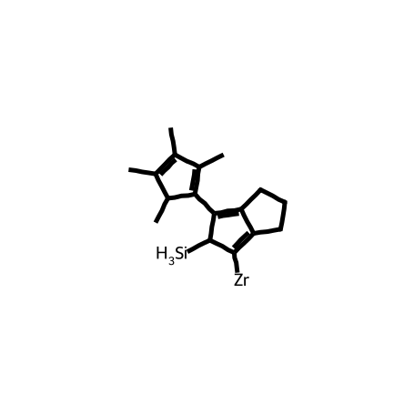 CC1=C(C)C(C)C(C2=C3CCCC3=[C]([Zr])C2[SiH3])=C1C